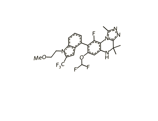 COCCn1c(C(F)(F)F)cc2c(-c3c(OC(F)F)cc4c(c3F)-n3c(C)nnc3C(C)(C)N4)cccc21